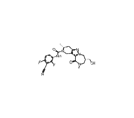 C[C@@H]1Cc2nn3c(c2CN1C(=O)Nc1ccc(F)c(C#N)c1F)C(=O)N(C)C[C@@H](CO)C3